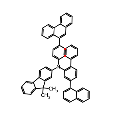 CC1(C)c2ccccc2-c2ccc(N(c3ccc(-c4cc5ccccc5c5ccccc45)cc3)c3cc(-c4cccc5ccccc45)ccc3-c3ccccc3)cc21